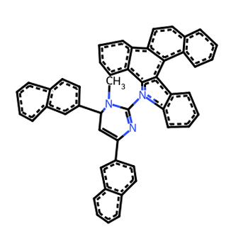 CN1C(n2c3ccccc3c3c4c5ccccc5ccc4c4ccccc4c32)=NC(c2ccc3ccccc3c2)=CC1c1ccc2ccccc2c1